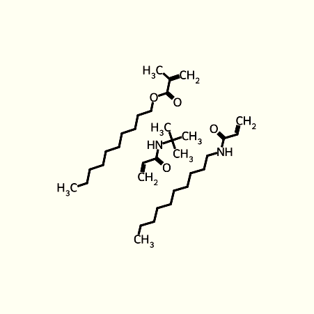 C=C(C)C(=O)OCCCCCCCCCC.C=CC(=O)NC(C)(C)C.C=CC(=O)NCCCCCCCCCC